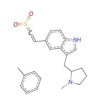 CN1CCCC1Cc1c[nH]c2ccc(C=C=S(=O)=O)cc12.Cc1ccccc1